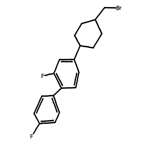 Fc1ccc(-c2ccc(C3CCC(CBr)CC3)cc2F)cc1